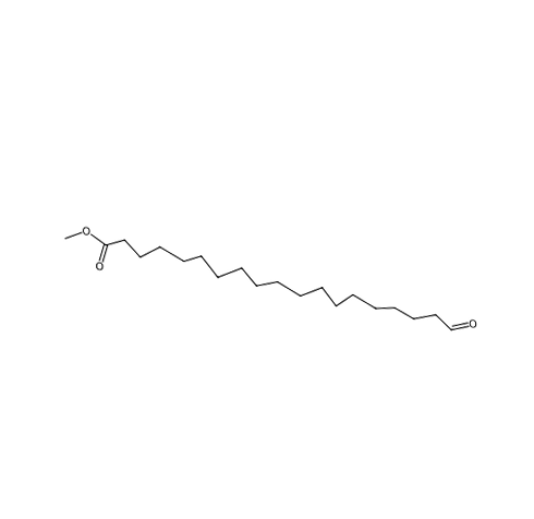 COC(=O)CCCCCCCCCCCCCCCCCC=O